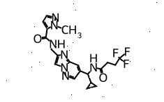 Cn1nccc1C(=O)NCc1cn2ncc(C(NC(=O)CCC(F)(F)F)C3CC3)cc2n1